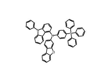 c1ccc(-n2c3ccccc3c3c(N(c4ccc([Si](c5ccccc5)(c5ccccc5)c5ccccc5)cc4)c4ccc5c(c4)oc4ccccc45)cccc32)cc1